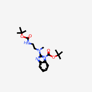 CN(CCNC(=O)OC(C)(C)C)c1nc2[c]cccc2n1C(=O)OC(C)(C)C